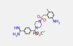 CC(=O)O.Cc1ccc(N)cc1CS(=O)(=O)N1CCN(C(=O)c2ccc(C(=N)N)cc2)CC1